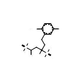 COc1ccc(Cl)cc1CCC(CC(C(=O)O)P(=O)(O)O)(C(=O)O)P(=O)(O)O